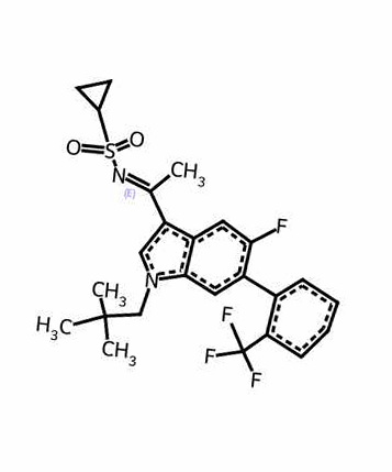 C/C(=N\S(=O)(=O)C1CC1)c1cn(CC(C)(C)C)c2cc(-c3ccccc3C(F)(F)F)c(F)cc12